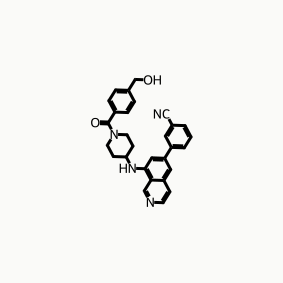 N#Cc1cccc(-c2cc(NC3CCN(C(=O)c4ccc(CO)cc4)CC3)c3cnccc3c2)c1